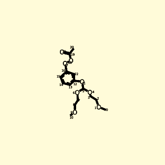 COCCOC(OCCOC)Oc1cccc(OOC(C)=O)c1